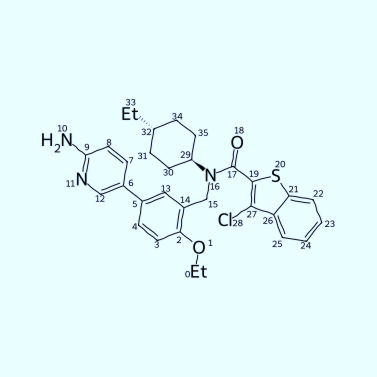 CCOc1ccc(-c2ccc(N)nc2)cc1CN(C(=O)c1sc2ccccc2c1Cl)[C@H]1CC[C@H](CC)CC1